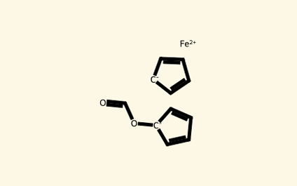 O=CO[c-]1cccc1.[Fe+2].c1cc[cH-]c1